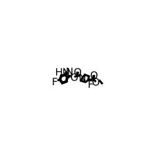 CCOC(=O)C1(F)CCN(C(=O)Oc2n[nH]c3cc(F)ccc23)CC1